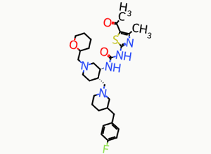 CC(=O)c1sc(NC(=O)N[C@H]2CN(CC3CCCCO3)CC[C@H]2CN2CCCC(Cc3ccc(F)cc3)C2)nc1C